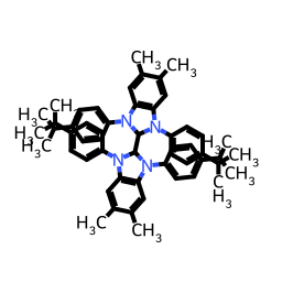 Cc1cc2c(cc1C)N(c1ccc(C(C)C)cc1)C(C1N(c3ccc(C(C)C)cc3)c3cc(C)c(C)cc3N1c1ccc(C(C)C)cc1)N2c1ccc(C(C)C)cc1